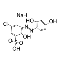 O=S(=O)(O)c1cc(Cl)cc(N=Nc2ccc(O)cc2O)c1O.[NaH]